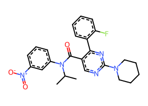 CC(C)N(C(=O)c1cnc(N2CCCCC2)nc1-c1ccccc1F)c1cccc([N+](=O)[O-])c1